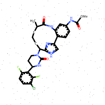 COC(=O)Nc1ccc2c(c1)NC(=O)C(C)CCCC(N1CCC(c3c(F)ccc(Cl)c3F)NC1=O)c1nc-2c[nH]1